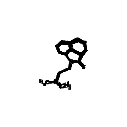 CN(C)CCN1C(=S)c2cccc3cccc1c23